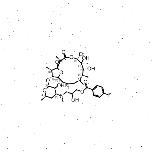 CC[C@H]1OC(=O)[C@H](C)C2(O)O[C@@](C)(C[C@@H](C)CN(C)[C@H](C)[C@@H](O)[C@]1(C)O)[C@H](O[C@@H]1O[C@H](C)C[C@H](N(C)CC(O)COC(=O)c3ccc(F)cc3)C1O)[C@H]2C